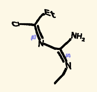 CC/C(Cl)=N\C(N)=N/C